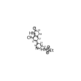 CCS(=O)(=O)NCc1cncc(-c2cc(Cl)c3c(c2)CCC(=O)N3)c1